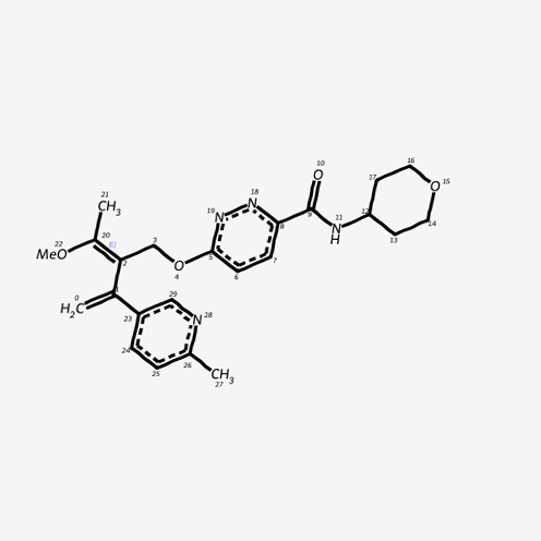 C=C(/C(COc1ccc(C(=O)NC2CCOCC2)nn1)=C(/C)OC)c1ccc(C)nc1